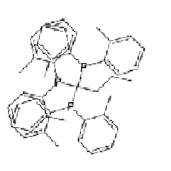 CCCC(P(c1ccccc1C)c1ccccc1C)(P(c1ccccc1C)c1ccccc1C)P(c1ccccc1C)c1ccccc1C